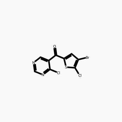 O=C(c1cc(Br)c(Cl)s1)c1cncnc1Cl